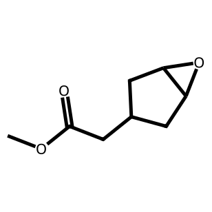 COC(=O)CC1CC2OC2C1